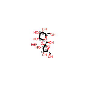 OC[C@H]1O[C@@](CO)(O[C@H]2O[C@H](CO)[C@@H](O)[C@H](O)[C@H]2O)[C@@H](O)[C@@H]1O.[Na+].[OH-]